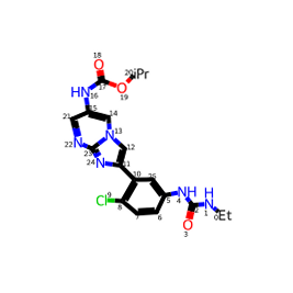 CCNC(=O)Nc1ccc(Cl)c(-c2cn3cc(NC(=O)OC(C)C)cnc3n2)c1